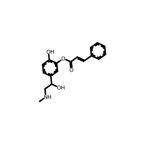 CNCC(O)c1ccc(O)c(OC(=O)C=Cc2ccccc2)c1